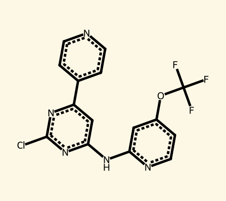 FC(F)(F)Oc1ccnc(Nc2cc(-c3ccncc3)nc(Cl)n2)c1